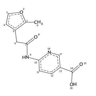 Cc1occc1CC(=O)Nc1ccc(C(=O)O)cn1